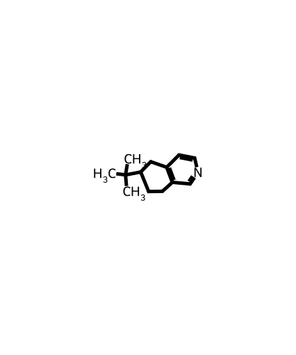 CC(C)(C)C1CCc2cnccc2C1